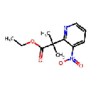 CCOC(=O)C(C)(C)c1ncccc1[N+](=O)[O-]